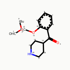 CC(C)(C)OC=O.O=C(c1ccccc1OC(F)(F)F)C1CCNCC1